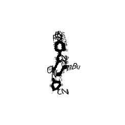 CCCCC1CN(Cc2ccc(C#N)cc2)C(=O)c2cc(-c3ccc(S(F)(F)(F)(F)F)cc3)nn21